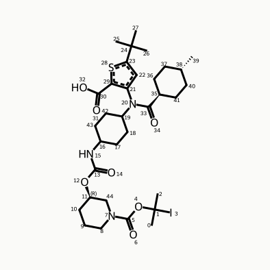 CC(C)(I)OC(=O)N1CCC[C@@H](OC(=O)NC2CCC(N(c3cc(C(C)(C)C)sc3C(=O)O)C(=O)[C@H]3CC[C@H](C)CC3)CC2)C1